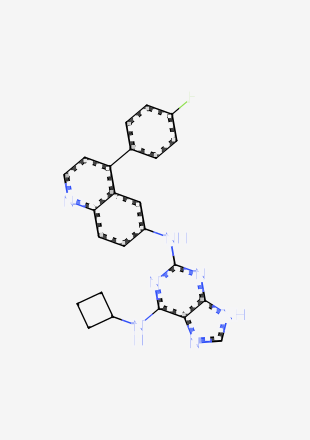 Fc1ccc(-c2ccnc3ccc(Nc4nc(NC5CCC5)c5nc[nH]c5n4)cc23)cc1